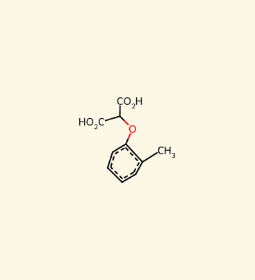 Cc1ccccc1OC(C(=O)O)C(=O)O